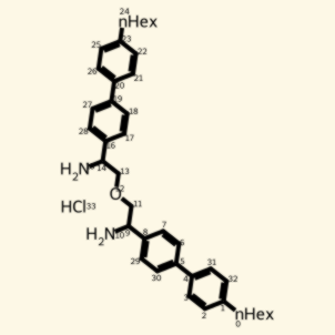 CCCCCCc1ccc(-c2ccc(C(N)COCC(N)c3ccc(-c4ccc(CCCCCC)cc4)cc3)cc2)cc1.Cl